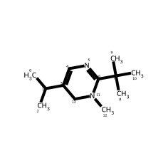 CC(C)C1=CN=C(C(C)(C)C)N(C)C1